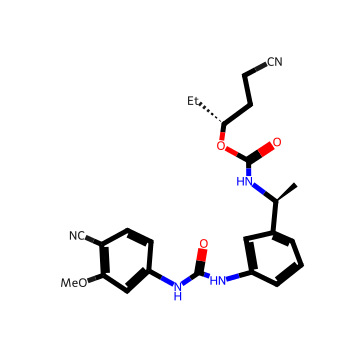 CC[C@H](CCC#N)OC(=O)N[C@@H](C)c1cccc(NC(=O)Nc2ccc(C#N)c(OC)c2)c1